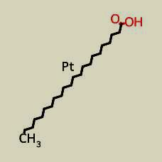 CCCCCCCCCCCCCCCCCCCCCC(=O)O.[Pt]